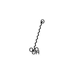 O=CCCCCCCCCCCCCCCC(=O)C(=O)O